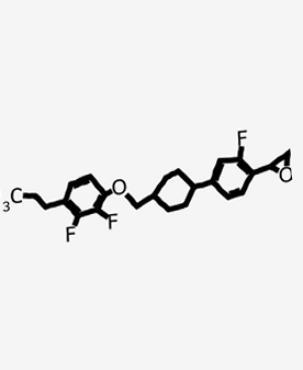 CCCc1ccc(OCC2CCC(c3ccc(C4CO4)c(F)c3)CC2)c(F)c1F